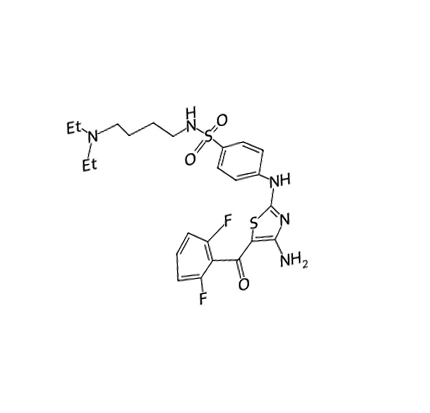 CCN(CC)CCCCNS(=O)(=O)c1ccc(Nc2nc(N)c(C(=O)c3c(F)cccc3F)s2)cc1